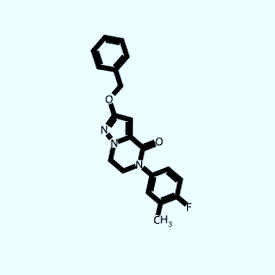 Cc1cc(N2CCn3nc(OCc4ccccc4)cc3C2=O)ccc1F